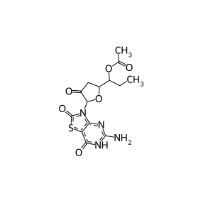 CCC(OC(C)=O)C1CC(=O)C(n2c(=O)sc3c(=O)[nH]c(N)nc32)O1